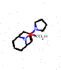 CCOC(=O)ON1C2C=C(N3CCCC3)CC1CCC2